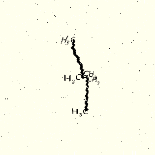 [CH2]C(CCC(C)CCCCCCCCCCCCC)C(C)CCCCCCCCCCCCC